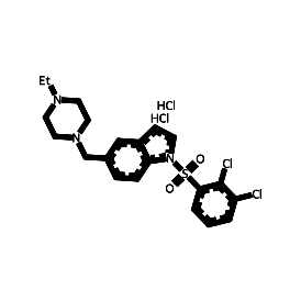 CCN1CCN(Cc2ccc3c(ccn3S(=O)(=O)c3cccc(Cl)c3Cl)c2)CC1.Cl.Cl